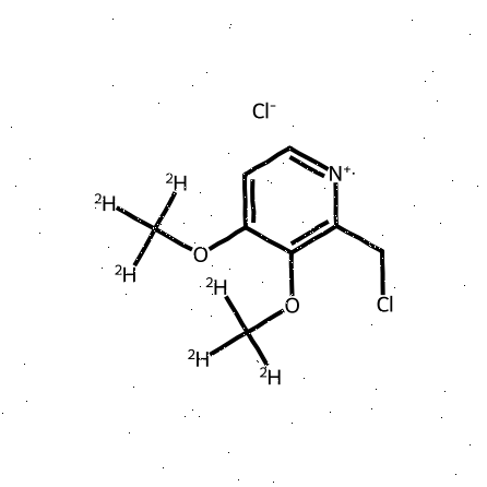 [2H]C([2H])([2H])OC1=CC=[N+]C(CCl)=C1OC([2H])([2H])[2H].[Cl-]